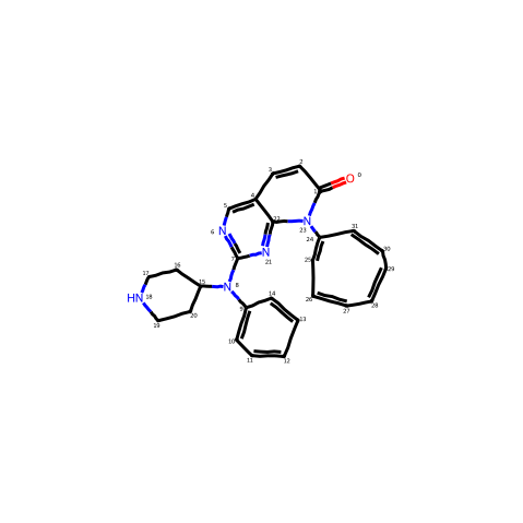 O=c1ccc2cnc(N(c3ccccc3)C3CCNCC3)nc2n1C1=CC=CC=CC=C1